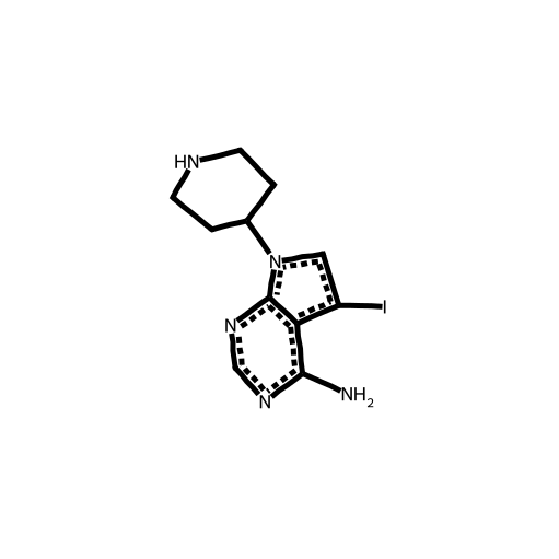 Nc1ncnc2c1c(I)cn2C1CCNCC1